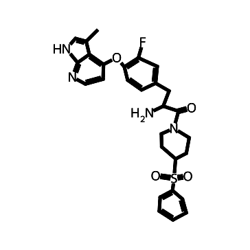 Cc1c[nH]c2nccc(Oc3ccc(CC(N)C(=O)N4CCC(S(=O)(=O)c5ccccc5)CC4)cc3F)c12